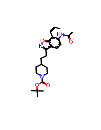 C/C=C\c1c(NC(C)=O)ccc2c(CCC3CCN(C(=O)OC(C)(C)C)CC3)noc12